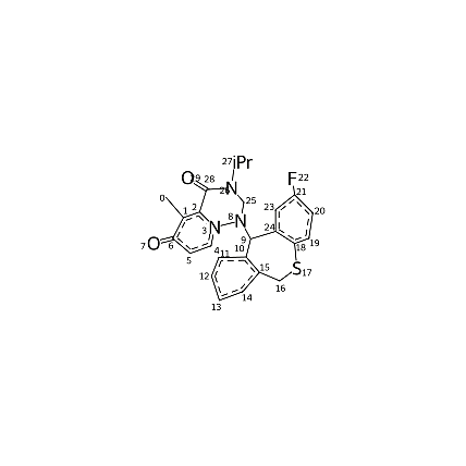 Cc1c2n(ccc1=O)N(C1c3ccccc3CSc3ccc(F)cc31)CN(C(C)C)C2=O